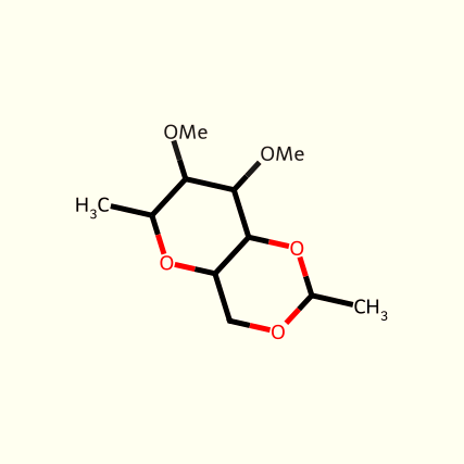 COC1C(C)OC2COC(C)OC2C1OC